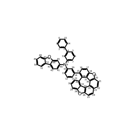 c1ccc(-c2cccc(N(c3cccc(-c4ccc5oc6ccc7ccc8oc9cccc%10c9c8c7c6c5c4-%10)c3)c3ccc4c(c3)oc3ccccc34)c2)cc1